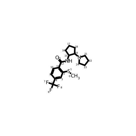 CSc1cc(C(F)(F)F)ccc1C(=O)NC1CCCC1N1CCCC1